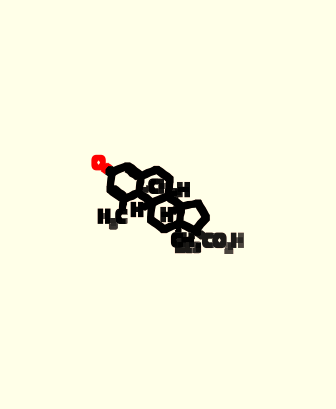 CC[C@@]1(C(=O)O)CC[C@H]2[C@@H]3CCC4=CC(=O)C=C(C)[C@]4(C)[C@H]3CC[C@@]21C